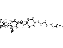 CCCCCCCC1CCC(COc2ccc(OC(F)(F)F)c(F)c2)CC1